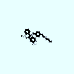 Cc1ccccc1-c1c(F)c2cc(O)ccc2n1Cc1ccc(CCNCCCF)cc1